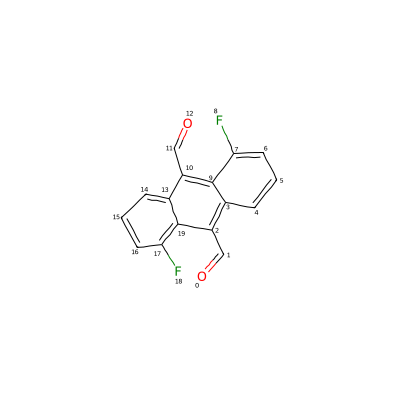 O=Cc1c2cccc(F)c2c(C=O)c2cccc(F)c12